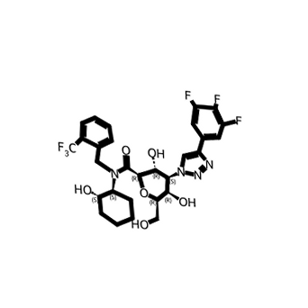 O=C([C@@H]1O[C@H](CO)[C@H](O)[C@H](n2cc(-c3cc(F)c(F)c(F)c3)nn2)[C@H]1O)N(Cc1ccccc1C(F)(F)F)[C@H]1CCCC[C@@H]1O